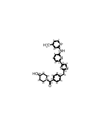 Cc1ccnc(Nc2cccc(-c3cnc(Cc4ccc(C(=O)N5CCC(O)CC5)cc4)s3)n2)c1